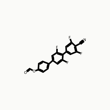 N#Cc1c(F)cc(-c2c(F)cc(-c3ccc(OC=O)cc3)cc2F)cc1F